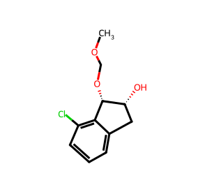 COCO[C@H]1c2c(Cl)cccc2C[C@H]1O